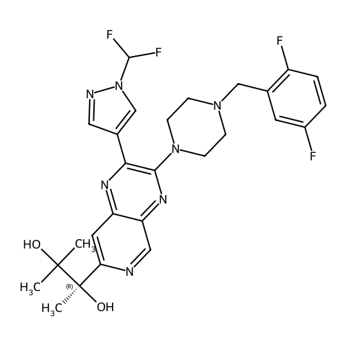 CC(C)(O)[C@](C)(O)c1cc2nc(-c3cnn(C(F)F)c3)c(N3CCN(Cc4cc(F)ccc4F)CC3)nc2cn1